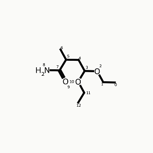 CCOC(CC(C)C(N)=O)OCC